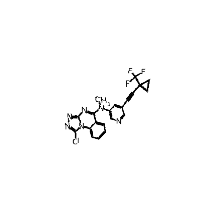 CN(c1cncc(C#CC2(C(F)(F)F)CC2)c1)c1nc2nnc(Cl)n2c2ccccc12